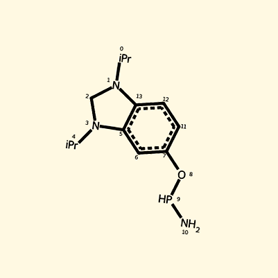 CC(C)N1CN(C(C)C)c2cc(OPN)ccc21